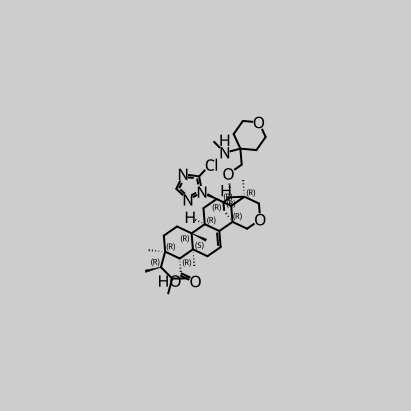 CNC1(CO[C@H]2[C@H](n3ncnc3Cl)C[C@@]34COC[C@@]2(C)[C@@H]3CC[C@H]2C4=CC[C@@]3(C)[C@H](C(=O)O)[C@@](C)([C@H](C)C(C)C)CC[C@]23C)CCOCC1